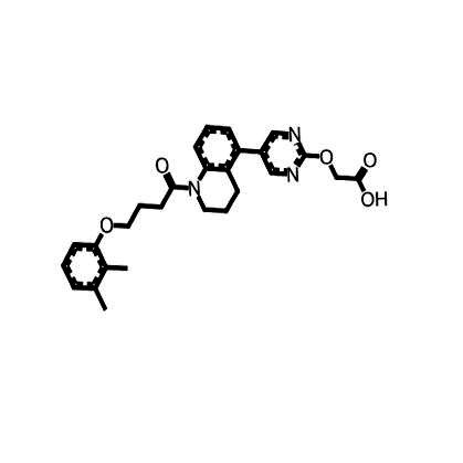 Cc1cccc(OCCCC(=O)N2CCCc3c(-c4cnc(OCC(=O)O)nc4)cccc32)c1C